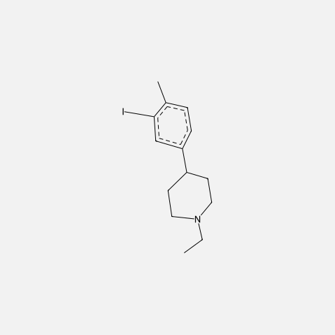 CCN1CCC(c2ccc(C)c(I)c2)CC1